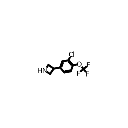 FC(F)(F)Oc1ccc(C2CNC2)cc1Cl